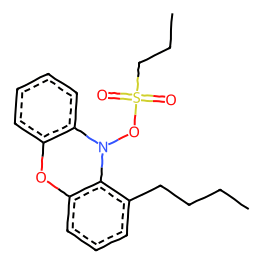 CCCCc1cccc2c1N(OS(=O)(=O)CCC)c1ccccc1O2